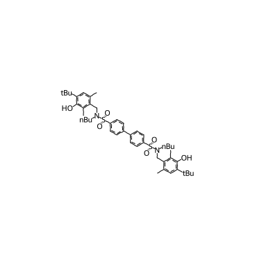 CCCCN(Cc1c(C)cc(C(C)(C)C)c(O)c1C)S(=O)(=O)c1ccc(-c2ccc(S(=O)(=O)N(CCCC)Cc3c(C)cc(C(C)(C)C)c(O)c3C)cc2)cc1